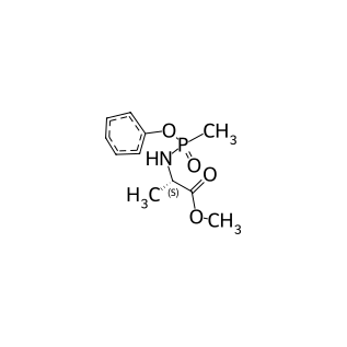 COC(=O)[C@H](C)NP(C)(=O)Oc1ccccc1